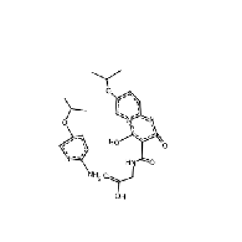 CC(C)Oc1ccc(N)nc1.CC(C)Oc1ccc2nc(=O)c(C(=O)NCC(=O)O)c(O)n2c1